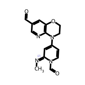 C/N=c1/cc(N2CCOc3cc(C=O)cnc32)ccn1C=O